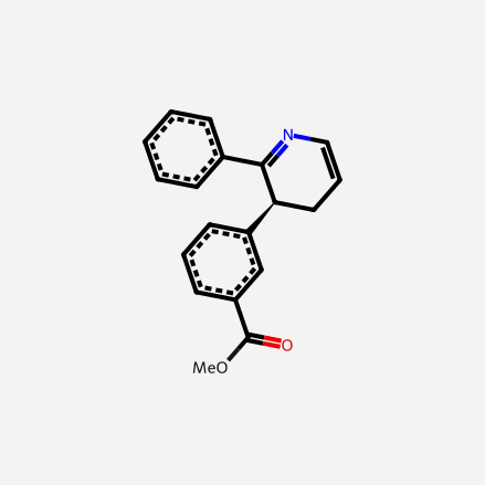 COC(=O)c1cccc([C@@H]2CC=CN=C2c2ccccc2)c1